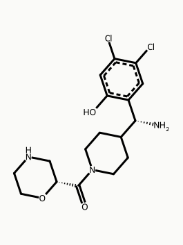 N[C@@H](c1cc(Cl)c(Cl)cc1O)C1CCN(C(=O)[C@H]2CNCCO2)CC1